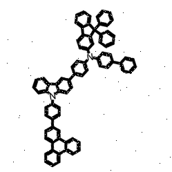 c1ccc(-c2ccc(N(c3ccc(-c4ccc5c(c4)c4ccccc4n5-c4ccc(-c5ccc6c7ccccc7c7ccccc7c6c5)cc4)cc3)c3ccc4c(c3)C(c3ccccc3)(c3ccccc3)c3ccccc3-4)cc2)cc1